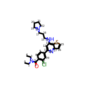 CCN(CC)C(=O)c1ccc(-c2cc(NCCCN3CCCC3)c3sccc3n2)cc1Cl